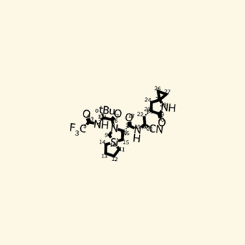 CC(C)(C)[C@H](NC(=O)C(F)(F)F)C(=O)N1C[Si]2(CCCC2)C[C@H]1C(=O)N[C@H](C#N)C[C@@H]1CC2(CC2)NC1=O